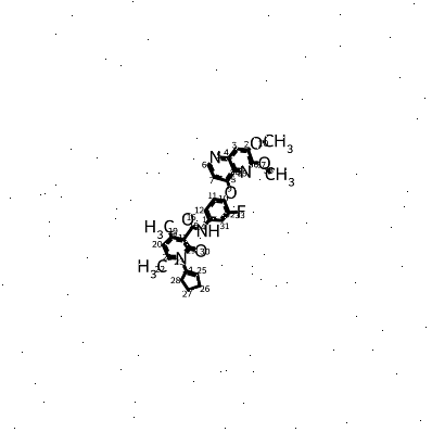 COc1cc2nccc(Oc3ccc(NC(=O)c4c(C)cc(C)n(C5=CCCC5)c4=O)cc3F)c2nc1OC